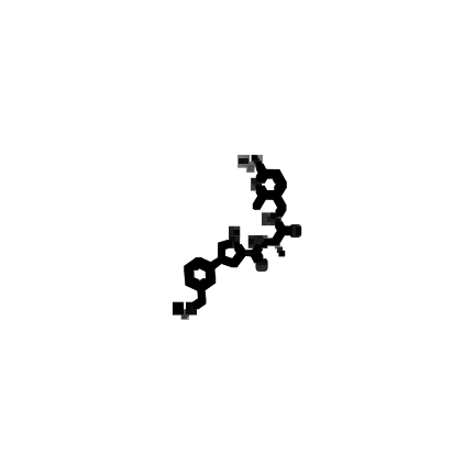 Cc1nc(N)ccc1CNC(=O)[C@H](C)NC(=O)[C@H]1C[C@@H](c2cccc(CN)c2)CN1